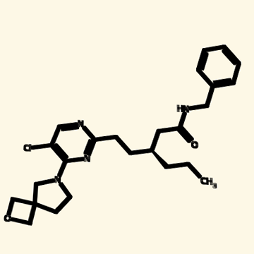 CCC[C@@H](CCc1ncc(Cl)c(N2CCC3(COC3)C2)n1)CC(=O)NCc1ccccc1